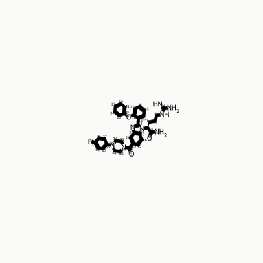 N=C(N)NCCC[C@@H](C(N)=O)n1c(-c2ccccc2Oc2ccccc2)nc2cc(C(=O)N3CCN(c4ccc(F)cc4)CC3)ccc21